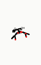 CCCCCC(CCCCC)CCCCCCCC(CCCCCCCC(CCCCC)CCCCC)(CCC(CCCC(=O)O)COC(=O)C1CCN(C)CC1)C(=O)O